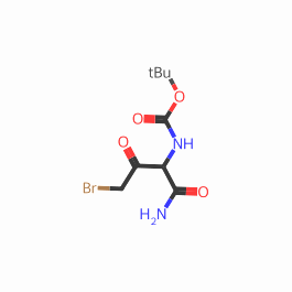 CC(C)(C)OC(=O)NC(C(N)=O)C(=O)CBr